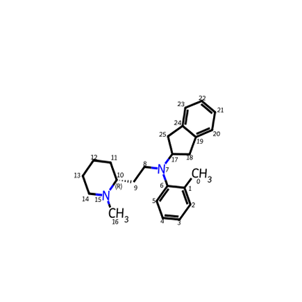 Cc1ccccc1N(CC[C@H]1CCCCN1C)C1Cc2ccccc2C1